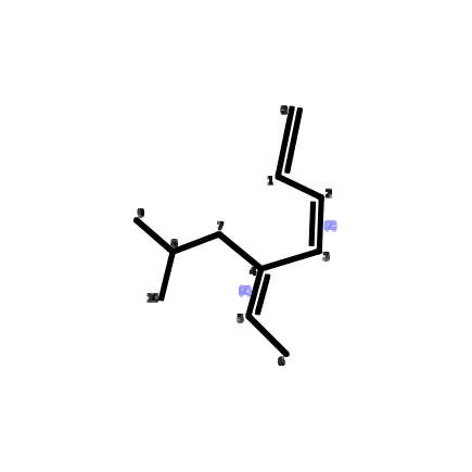 C=C/C=C\C(=C/C)CC(C)C